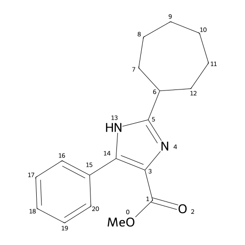 COC(=O)c1nc(C2CCCCCC2)[nH]c1-c1ccccc1